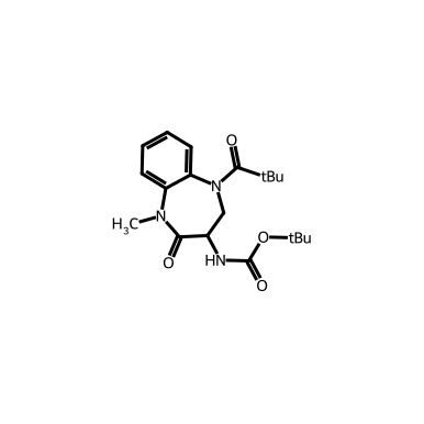 CN1C(=O)C(NC(=O)OC(C)(C)C)CN(C(=O)C(C)(C)C)c2ccccc21